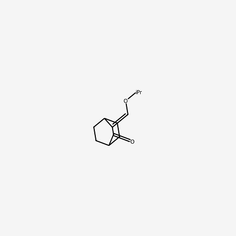 CC(C)OC=C1C(=O)C2CCC1CC2